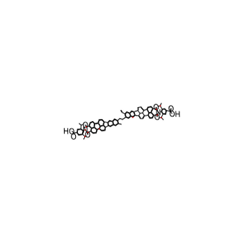 C=Cc1cc2cc3c(cc2cc1CCc1cc2cc4c(cc2cc1C)-c1ccc2c5ccc6c7c(ccc(c8ccc-4c1c28)c75)C(=O)N(c1c(C(C)C)cc(C(=O)O)cc1C(C)C)C6=O)C1=CC=C2c4ccc5c6c(ccc(c46)C4=CC=C3C1C42)C(=O)N(c1c(C(C)C)cc(C(=O)O)cc1C(C)C)C5=O